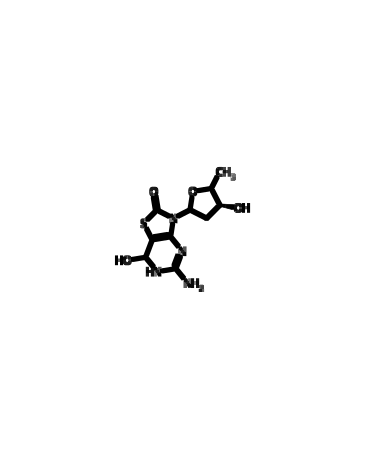 CC1OC(n2c3c(sc2=O)C(O)NC(N)=N3)C[C@@H]1O